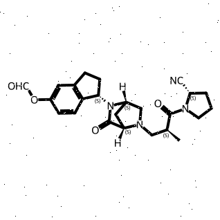 C[C@@H](CN1C[C@@H]2C[C@H]1C(=O)N2[C@H]1CCc2cc(OC=O)ccc21)C(=O)N1CCC[C@H]1C#N